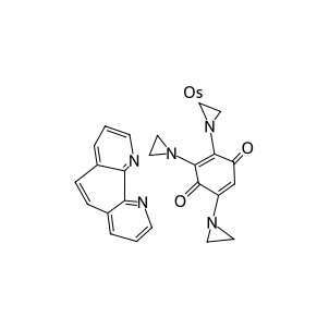 O=C1C=C(N2CC2)C(=O)C(N2CC2)=C1N1CC1.[Os].c1cnc2c(c1)ccc1cccnc12